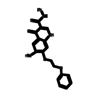 CCCCc1cc2c(=O)c(C(=O)NC(C)C)c[nH]c2cc1OCCOc1ccccc1